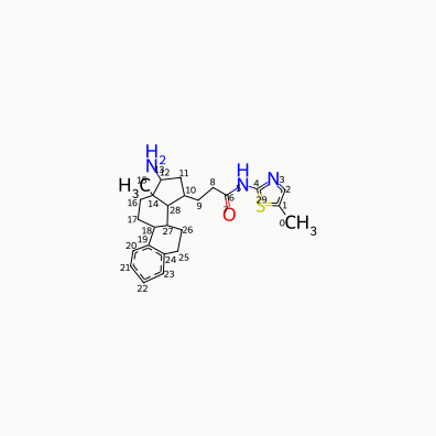 Cc1cnc(NC(=O)CCC2CC(N)C3(C)CCC4c5ccccc5CCC4C23)s1